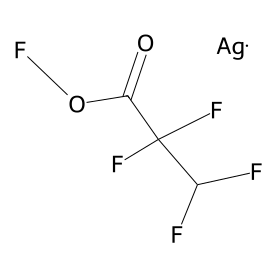 O=C(OF)C(F)(F)C(F)F.[Ag]